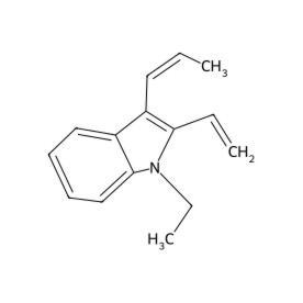 C=Cc1c(/C=C\C)c2ccccc2n1CC